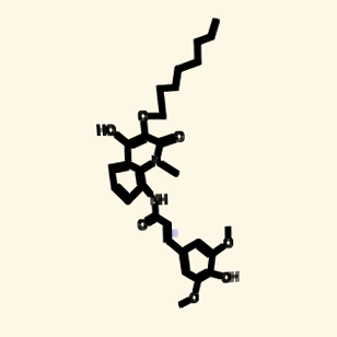 CCCCCCCCOc1c(O)c2cccc(NC(=O)/C=C/c3cc(OC)c(O)c(OC)c3)c2n(C)c1=O